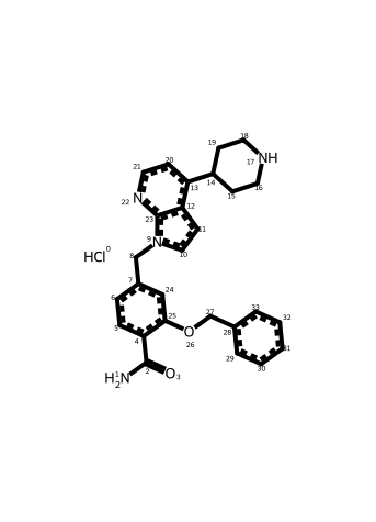 Cl.NC(=O)c1ccc(Cn2ccc3c(C4CCNCC4)ccnc32)cc1OCc1ccccc1